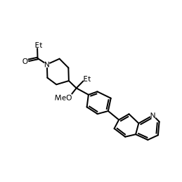 CCC(=O)N1CCC(C(CC)(OC)c2ccc(-c3ccc4cccnc4c3)cc2)CC1